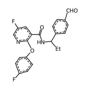 CCC(NC(=O)c1cc(F)cnc1Oc1ccc(F)cc1)c1ccc(C=O)cc1